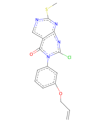 C=CCOc1cccc(-n2c(Cl)nc3nc(SC)ncc3c2=O)c1